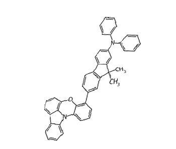 CC1(C)c2cc(-c3cccc4c3Oc3cccc5c6ccccc6n-4c35)ccc2-c2ccc(N(c3ccccc3)c3ccccc3)cc21